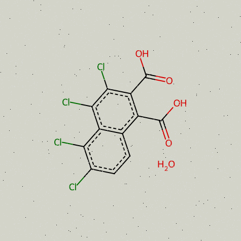 O.O=C(O)c1c(Cl)c(Cl)c2c(Cl)c(Cl)ccc2c1C(=O)O